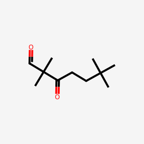 CC(C)(C)CCC(=O)C(C)(C)C=O